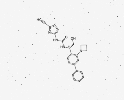 C#Cc1nc(NC(=O)N[C@@H](CO)c2ccc(-c3ccccc3)cc2N2CCC2)cs1